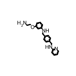 NCCOc1cccc(NCc2ccc(CNc3ccccn3)cc2)c1